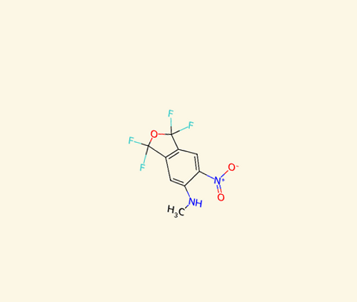 CNc1cc2c(cc1[N+](=O)[O-])C(F)(F)OC2(F)F